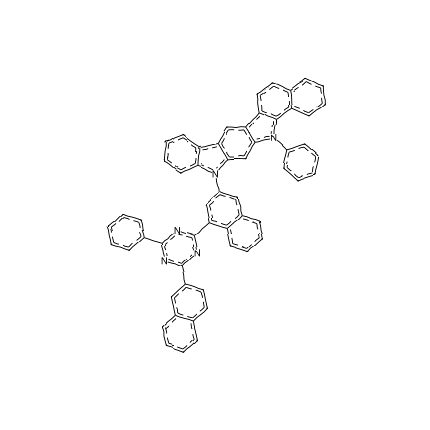 c1ccc(-c2nc(-c3ccc4ccccc4c3)nc(-c3cc(-n4c5ccccc5c5cc6c7ccc8ccccc8c7n(-c7ccccc7)c6cc54)cc4ccccc34)n2)cc1